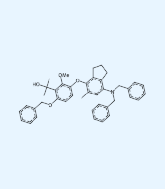 COc1c(Oc2c(C)cc(N(Cc3ccccc3)Cc3ccccc3)c3c2CCC3)ccc(OCc2ccccc2)c1C(C)(C)O